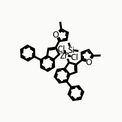 Cc1ccc(C2=Cc3c(-c4ccccc4)cccc3[CH]2[Zr]([Cl])([Cl])([CH]2C(c3ccc(C)o3)=Cc3c(-c4ccccc4)cccc32)=[Si](C)C)o1